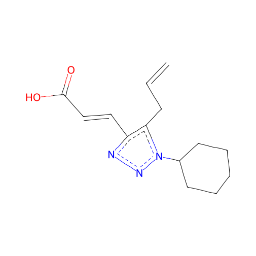 C=CCc1c(C=CC(=O)O)nnn1C1CCCCC1